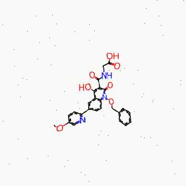 COc1ccc(-c2ccc3c(c2)c(O)c(C(=O)NCC(=O)O)c(=O)n3OCc2ccccc2)nc1